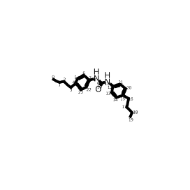 CCCCc1ccc(NC(=O)Nc2ccc(CCCC)cc2)cc1